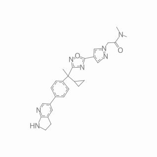 CN(C)C(=O)Cn1cc(-c2nc(C(C)(c3ccc(-c4cnc5c(c4)CCN5)cc3)C3CC3)no2)cn1